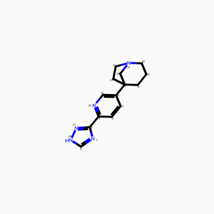 c1nc(-c2ccc(C34CCCN(CC3)C4)cn2)n[nH]1